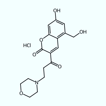 Cl.O=C(CCN1CCOCC1)c1cc2c(CO)cc(O)cc2oc1=O